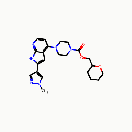 Cn1cc(-c2cc3c(N4CCN(C(=O)OCC5CCCCO5)CC4)ccnc3[nH]2)cn1